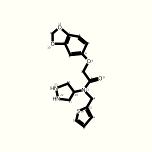 O=C(COc1ccc2c(c1)OCO2)N(Cc1cccs1)C1CNNC1